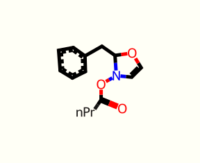 CCCC(=O)ON1C=COC1Cc1ccccc1